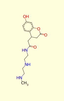 CNCCNCCNC(=O)CC1CC(=O)Oc2cc(O)ccc21